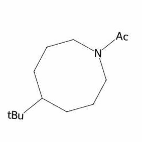 CC(=O)N1CCCC(C(C)(C)C)CCC1